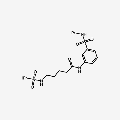 CC(C)NS(=O)(=O)c1cccc(NC(=O)CCCCNS(=O)(=O)C(C)C)c1